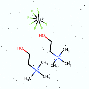 C[N+](C)(C)CCO.C[N+](C)(C)CCO.[F][Ta-2]([F])([F])([F])([F])([F])[F]